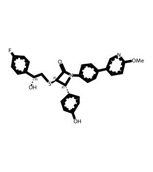 COc1ccc(-c2ccc(N3C(=O)[C@H](SC[C@H](O)c4ccc(F)cc4)[C@H]3c3ccc(O)cc3)cc2)cn1